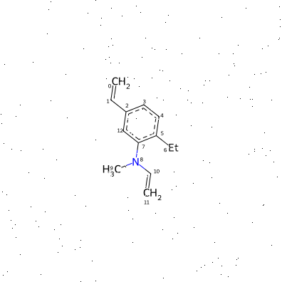 C=Cc1ccc(CC)c(N(C)C=C)c1